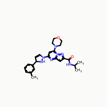 Cc1cccc(C2C=CN(c3cc(N4CCOCC4)n4nc(C(=O)NC(C)C)cc4n3)N2)c1